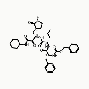 CCC[C@H](NC(=O)[C@@H](Cc1ccccc1)NC(=O)OCc1ccccc1)C(=O)N[C@@H](C[C@@H]1CCNC1=O)C(=O)C(=O)NC1CCCCC1